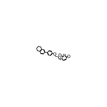 O=c1ccn2c(n1)O[C@H](COc1ccc(-c3ccc4c(c3)CCCC4)cc1)C2